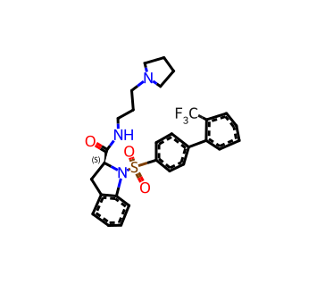 O=C(NCCCN1CCCC1)[C@@H]1Cc2ccccc2N1S(=O)(=O)c1ccc(-c2ccccc2C(F)(F)F)cc1